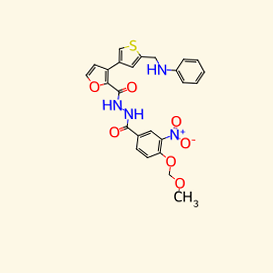 COCOc1ccc(C(=O)NNC(=O)c2occc2-c2csc(CNc3ccccc3)c2)cc1[N+](=O)[O-]